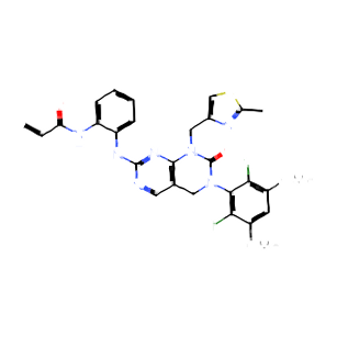 C=CC(=O)Nc1ccccc1Nc1ncc2c(n1)N(Cc1csc(C)n1)C(=O)N(c1c(Cl)c(OC)cc(OC)c1Cl)C2